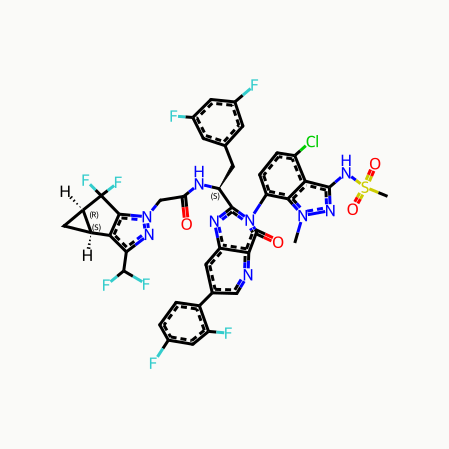 Cn1nc(NS(C)(=O)=O)c2c(Cl)ccc(-n3c([C@H](Cc4cc(F)cc(F)c4)NC(=O)Cn4nc(C(F)F)c5c4C(F)(F)[C@@H]4C[C@H]54)nc4cc(-c5ccc(F)cc5F)cnc4c3=O)c21